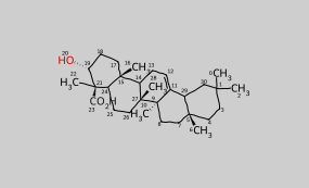 CC1(C)CC[C@]2(C)CC[C@]3(C)C(=CCC4[C@@]5(C)CC[C@@H](O)[C@](C)(C(=O)O)C5CC[C@]43C)C2C1